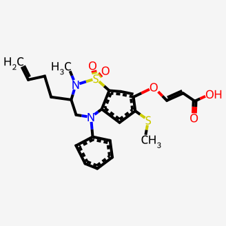 C=CCCC1CN(c2ccccc2)c2cc(SC)c(OC=CC(=O)O)cc2S(=O)(=O)N1C